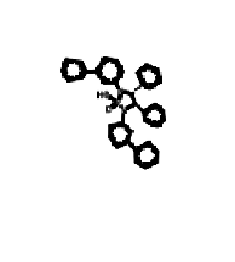 O=P1(O)N(c2cccc(-c3ccccc3)c2)[C@H](c2ccccc2)[C@@H](c2ccccc2)N1c1cccc(-c2ccccc2)c1